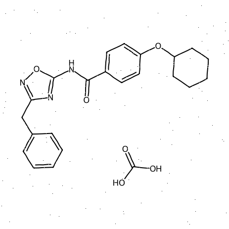 O=C(Nc1nc(Cc2ccccc2)no1)c1ccc(OC2CCCCC2)cc1.O=C(O)O